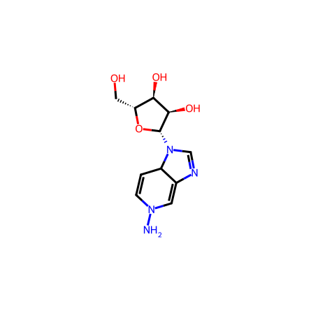 NN1C=CC2C(=C1)N=CN2[C@@H]1O[C@H](CO)[C@@H](O)[C@H]1O